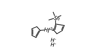 [CH3][Sn]([CH3])([CH3])[C]1=[C]([Hf+2][C]2=CC=CC2)CC=C1.[H-].[H-]